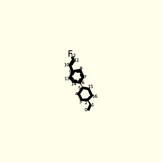 CC[C@H]1CC[C@H](c2ccc(C=CF)cc2)CC1